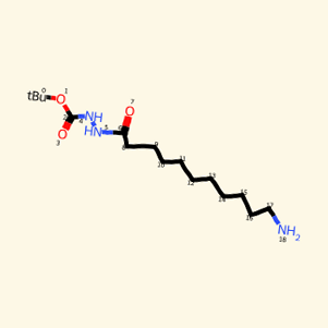 CC(C)(C)OC(=O)NNC(=O)CCCCCCCCCCN